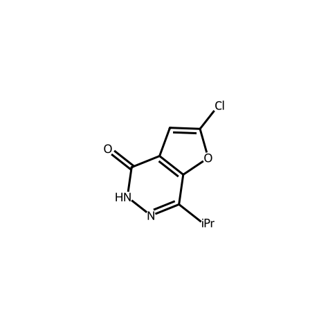 CC(C)c1n[nH]c(=O)c2cc(Cl)oc12